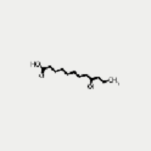 CCCC(O)CCCCCCCC(=O)O